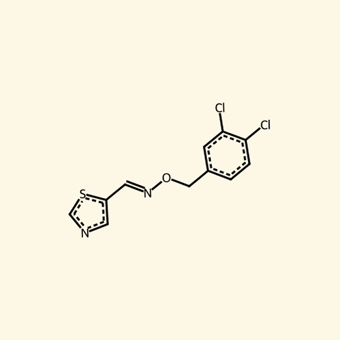 Clc1ccc(CON=Cc2cncs2)cc1Cl